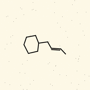 C/C=C/[CH]C1CCCCC1